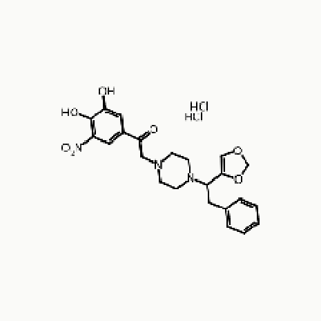 Cl.Cl.O=C(CN1CCN(C(Cc2ccccc2)C2=COCO2)CC1)c1cc(O)c(O)c([N+](=O)[O-])c1